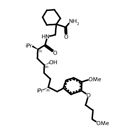 COCCCOc1cc(C[C@@H](CC[C@@H](O)C[C@H](C(=O)NCC2(C(N)=O)CCCCC2)C(C)C)C(C)C)ccc1OC